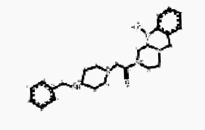 COc1ccccc1CN1CCN(C(=O)CN2CCC(NCc3ccccc3)CC2)CC1